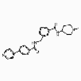 CN1CCC(NC(=O)c2cccc(CNC(=O)c3ccc(-c4ccncc4)cc3)c2)CC1